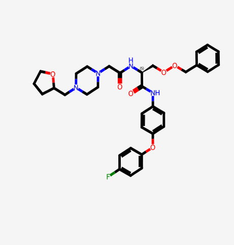 O=C(CN1CCN(CC2CCCO2)CC1)N[C@@H](COOCc1ccccc1)C(=O)Nc1ccc(Oc2ccc(F)cc2)cc1